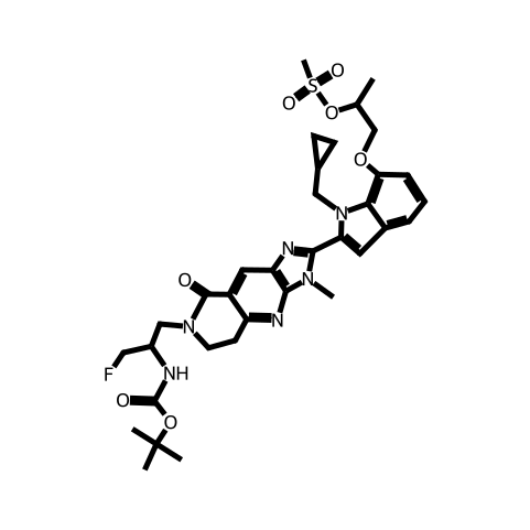 CC(COc1cccc2cc(-c3nc4cc5c(nc4n3C)CCN(CC(CF)NC(=O)OC(C)(C)C)C5=O)n(CC3CC3)c12)OS(C)(=O)=O